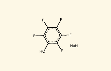 Oc1c(F)c(F)c(F)c(F)c1F.[NaH]